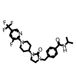 CC(C)NC(=O)c1ccc(CN2CCN(C3CCN(c4ncc(C(F)(F)F)cc4F)CC3)C2=O)cc1